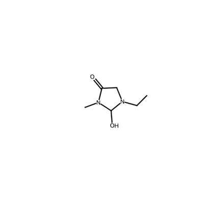 CCN1CC(=O)N(C)C1O